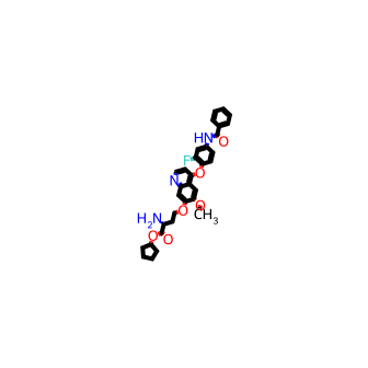 COc1cc2c(Oc3ccc(NC(=O)c4ccccc4)cc3F)ccnc2cc1OCC[C@H](N)C(=O)OC1CCCC1